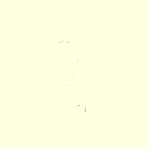 C=C(C)C(=O)NCCC[N+](C)(C)CCCC[N+](C)(C)CCCNC(=O)C(=C)C